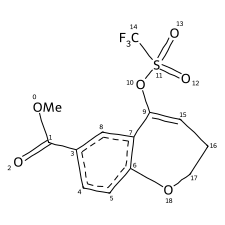 COC(=O)c1ccc2c(c1)C(OS(=O)(=O)C(F)(F)F)=CCCO2